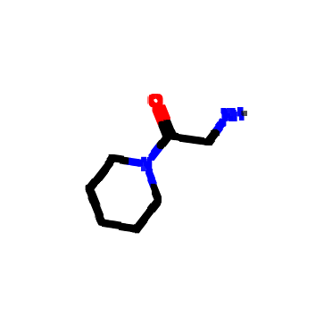 [NH]CC(=O)N1CCCCC1